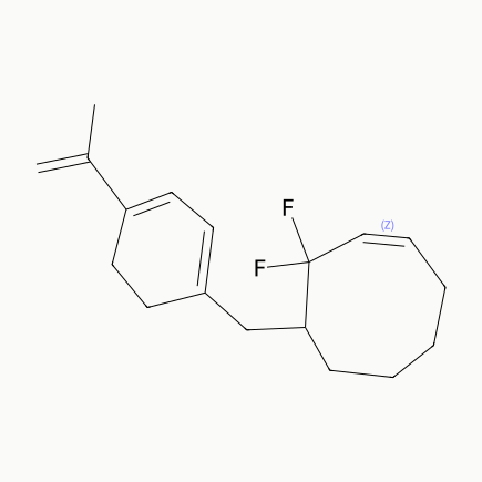 C=C(C)C1=CC=C(CC2CCCC/C=C\C2(F)F)CC1